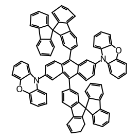 C1=CC2=C(CC1)C1(c3cc(-c4c5ccc(N6c7ccccc7Oc7ccccc76)cc5c(-c5ccc6c(c5)C5(c7ccccc7-c7ccccc75)c5ccccc5-6)c5ccc(N6c7ccccc7Oc7ccccc76)cc45)ccc32)c2ccccc2-c2ccccc21